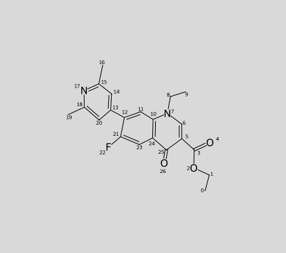 CCOC(=O)c1cn(CC)c2cc(-c3cc(C)nc(C)c3)c(F)cc2c1=O